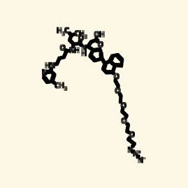 Cc1ccnc(NCCCC(=O)NC(CC(C)C)C(=O)NC(CC(=O)O)c2ccc(-c3ccc(OCCOCCOCCOCCOCCN=[N+]=[N-])c4ccccc34)cc2)c1